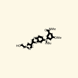 CCCCN(c1cc(OC)cc(C(=O)NC)c1)c1ccc2ncc(-c3cnn(CCO)c3)nc2c1